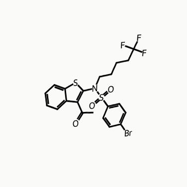 CC(=O)c1c(N(CCCCC(F)(F)F)S(=O)(=O)c2ccc(Br)cc2)sc2ccccc12